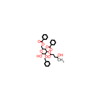 CC(O)CCC(=O)OC1C(OCc2ccccc2)[C@H](O)OC(COC(=O)c2ccccc2)[C@@H]1OC(=O)c1ccccc1